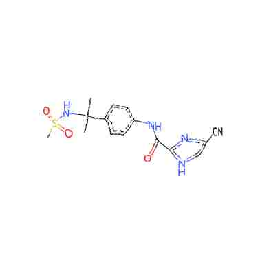 CC(C)(NS(C)(=O)=O)c1ccc(NC(=O)c2nc(C#N)c[nH]2)cc1